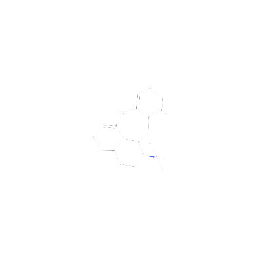 CN[C@H]1CCc2cccc3c2[C@H]1Cc1ccccc1N3